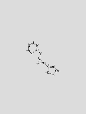 C1=C(N2CC2Cc2ccccc2)OCO1